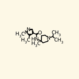 Cc1c(C(=O)NC2(C)CCN(C(C)C)CC2)cnn1C